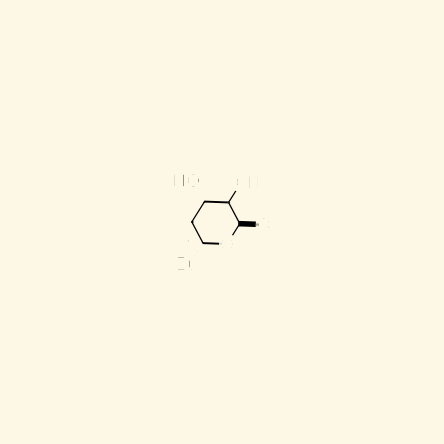 CC[C@@H]1C[C@H](O)C(C)C(=O)O1